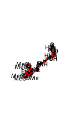 CC[C@H](C(=O)N1CCCC[C@H]1C(=O)O[C@H](CCc1ccc(OC)c(OC)c1)c1cccc(OCC(=O)NCCCCCCCC(O)Nc2cccc3c2CN(C2CCC(=O)NC2=O)C3=O)c1)c1cc(OC)c(OC)c(OC)c1